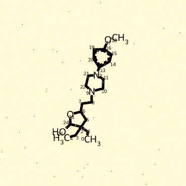 CCC1(CC)CC(CCN2CCN(c3ccc(OC)cc3)CC2)OC1O